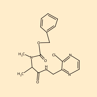 CC(C(=O)NCc1nccnc1Cl)N(C)C(=O)OCc1ccccc1